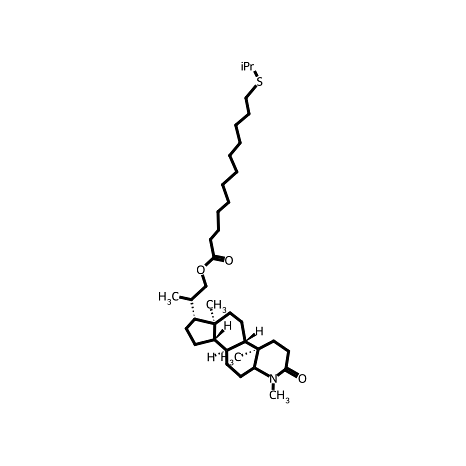 CC(C)SCCCCCCCCCCCC(=O)OCC(C)[C@H]1CC[C@H]2[C@@H]3CCC4N(C)C(=O)CC[C@]4(C)[C@H]3CC[C@]12C